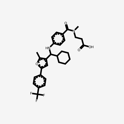 Cc1oc(-c2ccc(C(F)(F)F)cc2)cc1C(Nc1ccc(C(=O)N(C)CCC(=O)O)cc1)C1CCCCC1